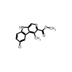 COC(=O)c1ncc2[nH]c3ccc(Cl)cc3c2c1C